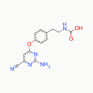 N#Cc1cc(Oc2ccc(CCNC(=O)O)cc2)nc(N)n1